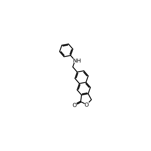 O=C1OCc2cc3ccc(CNc4ccccc4)cc3cc21